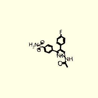 CC(=O)Nn1cc(-c2ccc(F)cc2)c(-c2ccc(S(N)(=O)=O)cc2)n1